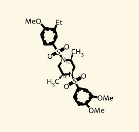 CCc1cc(S(=O)(=O)N2C[C@H](C)N(S(=O)(=O)c3ccc(OC)c(OC)c3)C[C@@H]2C)ccc1OC